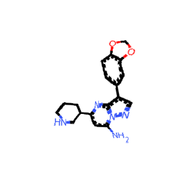 Nc1cc(C2CCCNC2)nc2c(-c3ccc4c(c3)OCO4)cnn12